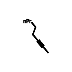 [CH2]CCCCC#CC